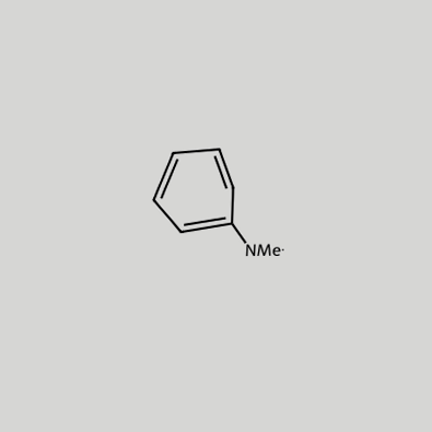 C[N]c1ccccc1